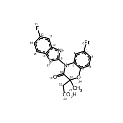 CCc1ccc2c(c1)N(c1nc3cc(F)ccc3s1)C(=O)C(C)(CC(=O)O)O2